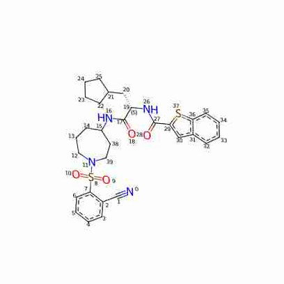 N#Cc1ccccc1S(=O)(=O)N1CCCC(NC(=O)[C@H](CC2CCCC2)NC(=O)c2cc3ccccc3s2)CC1